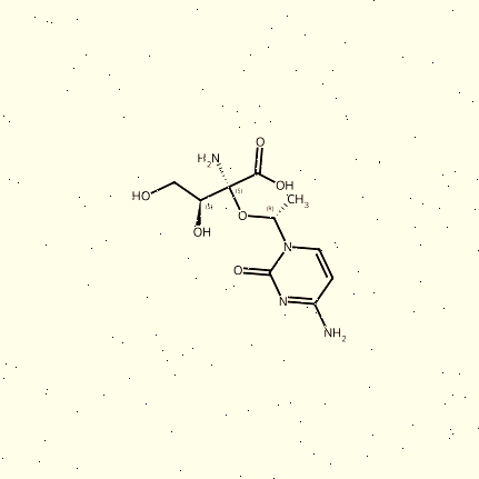 C[C@@H](O[C@](N)(C(=O)O)[C@@H](O)CO)n1ccc(N)nc1=O